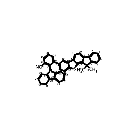 CC1(C)c2ccccc2-c2ccc3c(sc4ccc(-c5cccc(C#N)c5-n5c6c(c7ccccc75)CCC=C6)cc43)c21